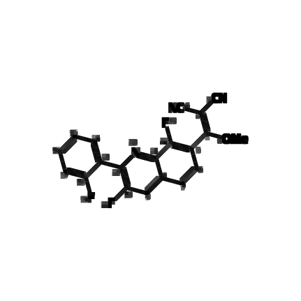 COC(=C(C#N)C#N)c1ccc2cc(F)c(-c3ccccc3F)nc2c1F